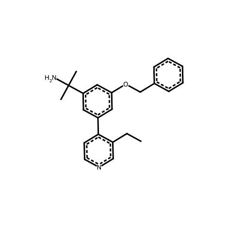 CCc1cnccc1-c1cc(OCc2ccccc2)cc(C(C)(C)N)c1